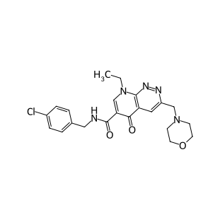 CCn1cc(C(=O)NCc2ccc(Cl)cc2)c(=O)c2cc(CN3CCOCC3)nnc21